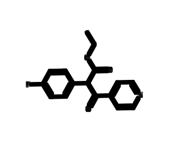 CCOC(=O)C(C(=O)c1ccncc1)c1ccc(F)cc1